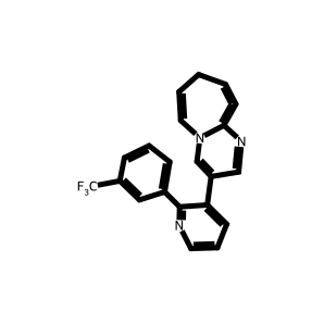 FC(F)(F)c1cccc(-c2ncccc2C2=CN3C=CCC=C=C3N=C2)c1